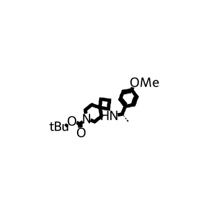 COc1ccc([C@H](C)N[C@H]2CCC23CCN(C(=O)OC(C)(C)C)CC3)cc1